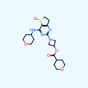 O=C(OC1CN(c2nc3c(c(NC4CCOCC4)n2)[S+]([O-])CC3)C1)C1CCOCC1